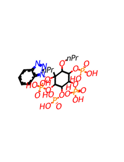 CCCOC1C(OP(=O)(O)O)C(OP(=O)(O)O)C(OP(=O)(O)O)C(OP(=O)(O)O)C1(CCC)On1nnc2ccccc21